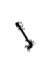 CC1CCCC(C)N1CC(=O)NCCC(=O)NCCOCCOCCOCCOCCC(=O)NCCCC1CN([C@@H]2OCC(O[PH](=O)O)[C@@H]2O)C(=O)N=C1N